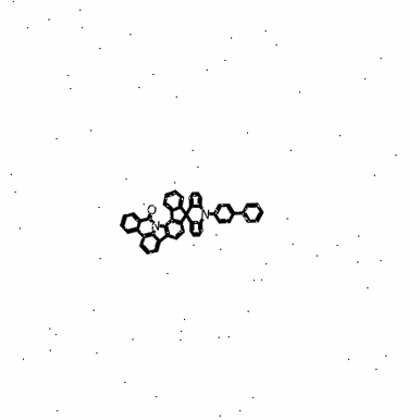 O=c1c2ccccc2c2cccc3c4ccc5c(c4n1c23)-c1ccccc1C51c2ccccc2N(c2ccc(-c3ccccc3)cc2)c2ccccc21